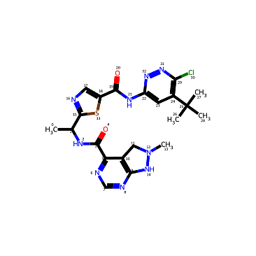 CC(NC(=O)c1ncnc2c1CN(C)N2)c1ncc(C(=O)Nc2cc(C(C)(C)C)c(Cl)nn2)s1